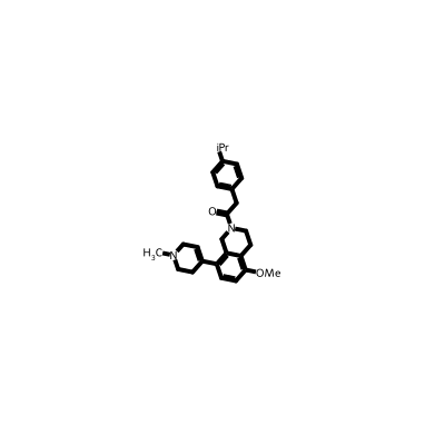 COc1ccc(C2=CCN(C)CC2)c2c1CCN(C(=O)Cc1ccc(C(C)C)cc1)C2